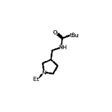 CCN1CCC(CNC(=O)C(C)(C)C)C1